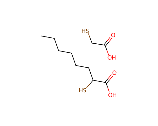 CCCCCCC(S)C(=O)O.O=C(O)CS